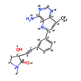 CN1CC[C@@](O)(C#Cc2cccc(-c3cc(C(F)(F)F)c4ncnc(N)c4n3)c2)C1=O